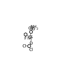 NS(=O)(=O)c1ccc(-c2sc(CCOc3cc(Cl)cc(Cl)c3)nc2-c2ccccc2F)cc1